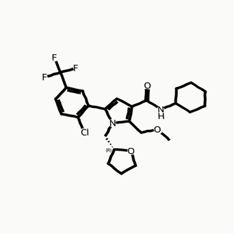 COCc1c(C(=O)NC2CCCCC2)cc(-c2cc(C(F)(F)F)ccc2Cl)n1C[C@H]1CCCO1